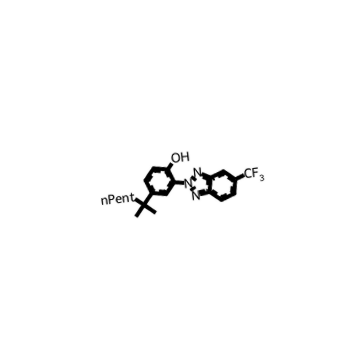 CCCCCC(C)(C)c1ccc(O)c(-n2nc3ccc(C(F)(F)F)cc3n2)c1